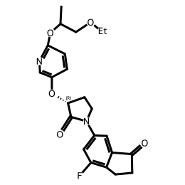 CCOCC(C)Oc1ccc(O[C@@H]2CCN(c3cc(F)c4c(c3)C(=O)CC4)C2=O)cn1